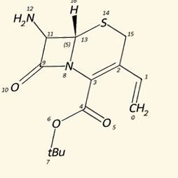 C=CC1=C(C(=O)OC(C)(C)C)N2C(=O)C(N)[C@@H]2SC1